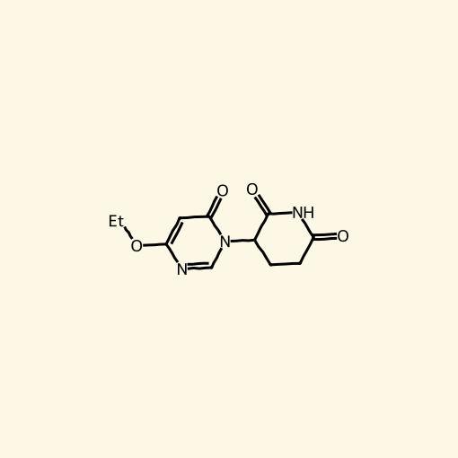 CCOc1cc(=O)n(C2CCC(=O)NC2=O)cn1